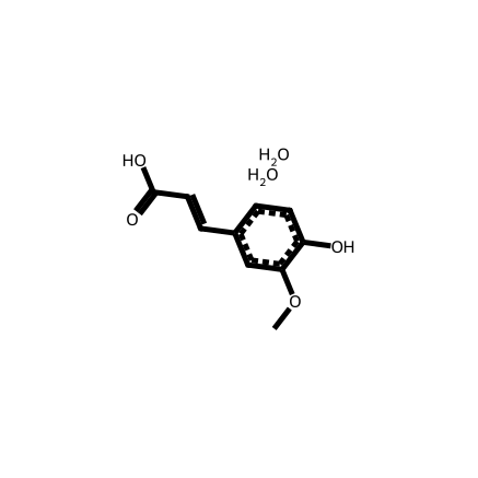 COc1cc(C=CC(=O)O)ccc1O.O.O